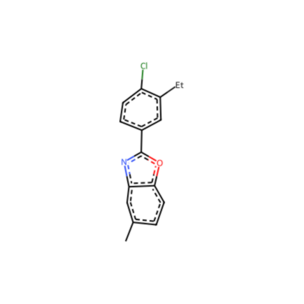 CCc1cc(-c2nc3cc(C)ccc3o2)ccc1Cl